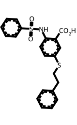 O=C(O)c1cc(SCCc2ccccc2)ccc1NS(=O)(=O)c1ccccc1